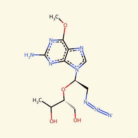 COc1nc(N)nc2c1ncn2[C@@H](CN=[N+]=[N-])O[C@H](CO)C(C)O